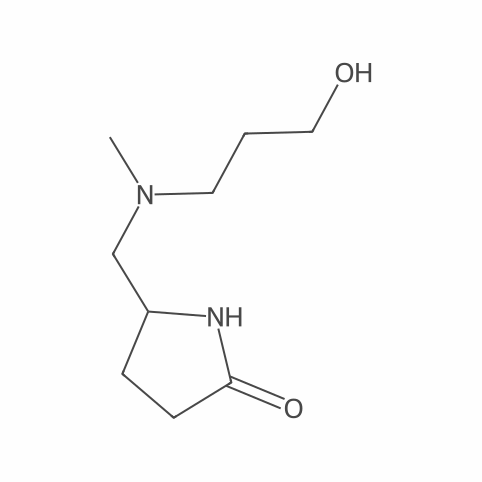 CN(CCCO)CC1CCC(=O)N1